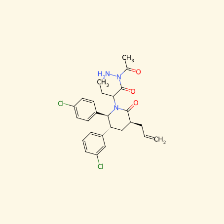 C=CC[C@H]1C[C@H](c2cccc(Cl)c2)[C@@H](c2ccc(Cl)cc2)N(C(CC)C(=O)N(N)C(C)=O)C1=O